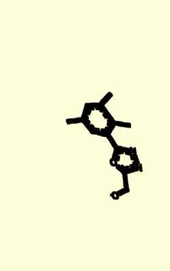 Cc1cc(C)c(C)c(-c2nnc(C[O])o2)c1